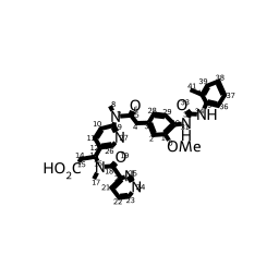 COc1cc(CC(=O)N(C)c2ccc(C(CC(=O)O)N(C)C(=O)c3cccnn3)cn2)ccc1NC(=O)Nc1ccccc1C